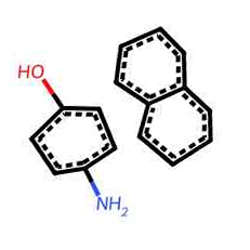 Nc1ccc(O)cc1.c1ccc2ccccc2c1